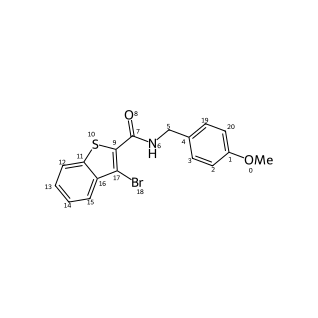 COc1ccc(CNC(=O)c2sc3ccccc3c2Br)cc1